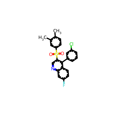 Cc1ccc(S(=O)(=O)c2cnc3cc(F)ccc3c2-c2cccc(Cl)c2)cc1C